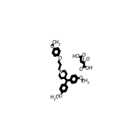 COc1ccc(OCCCN2CCC(C(c3ccc(OC)cc3)c3ccc(OC)cc3)CC2)cc1.O.O=C(O)C=CC(=O)O